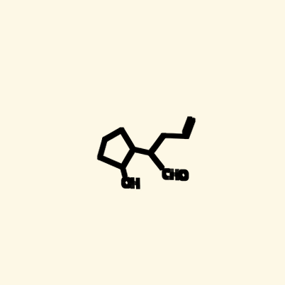 C=CCC(C=O)C1CCCC1O